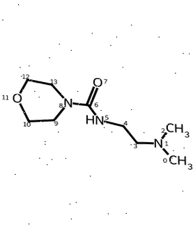 CN(C)CCNC(=O)N1CCOCC1